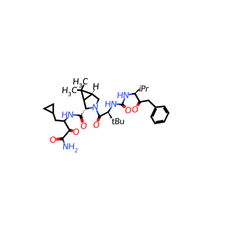 CC(C)[C@H](NC(=O)N[C@H](C(=O)N1C[C@H]2C([C@H]1C(=O)NC(CC1CC1)C(=O)C(N)=O)C2(C)C)C(C)(C)C)C(=O)Cc1ccccc1